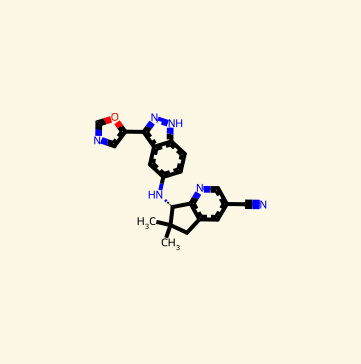 CC1(C)Cc2cc(C#N)cnc2[C@H]1Nc1ccc2[nH]nc(-c3cnco3)c2c1